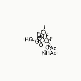 CC(=O)NCCON(Cc1cc(C(=O)NOCCO)c(Nc2ccc(I)cc2F)c(F)c1F)C(C)=O